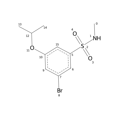 CNS(=O)(=O)c1cc(Br)cc(OC(C)C)c1